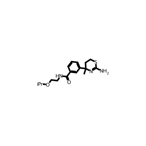 CC(C)OCCNC(=O)c1cccc(C2(C)CCSC(N)=N2)c1